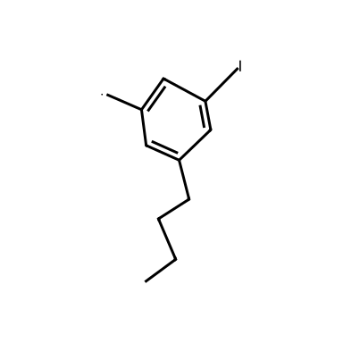 [CH2]c1cc(I)cc(CCCC)c1